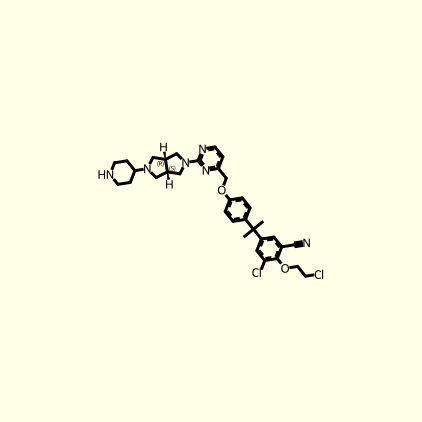 CC(C)(c1ccc(OCc2ccnc(N3C[C@@H]4CN(C5CCNCC5)C[C@@H]4C3)n2)cc1)c1cc(Cl)c(OCCCl)c(C#N)c1